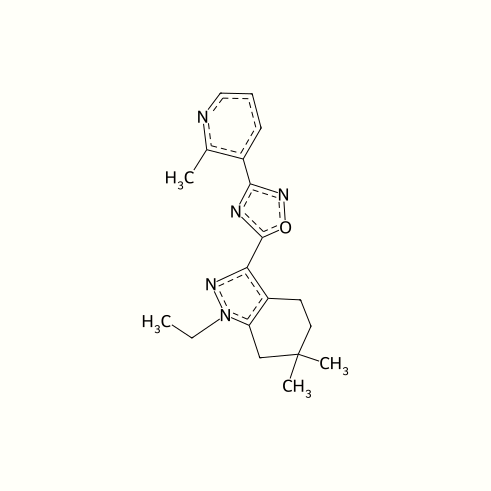 CCn1nc(-c2nc(-c3cccnc3C)no2)c2c1CC(C)(C)CC2